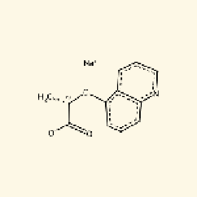 C[C@H](Oc1cccc2ncccc12)C(=O)[O-].[Na+]